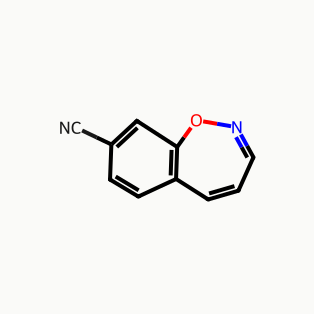 N#Cc1ccc2c(c1)ON=CC=C2